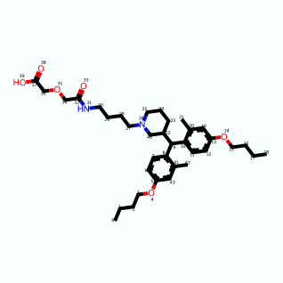 CCCCOc1ccc(C(c2ccc(OCCCC)cc2C)C2CCCN(CCCCNC(=O)COCC(=O)O)C2)c(C)c1